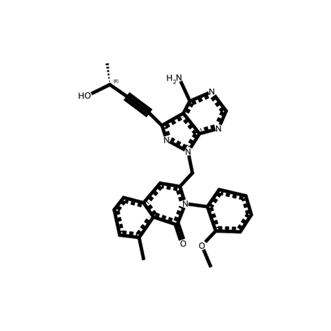 COc1ccccc1-n1c(Cn2nc(C#C[C@@H](C)O)c3c(N)ncnc32)cc2cccc(C)c2c1=O